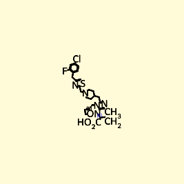 C=C/C(=N\c1c(C)nc(CC2CCN(Cc3nc(Cc4ccc(Cl)cc4F)cs3)CC2)n1C[C@@H]1CCO1)C(=O)O